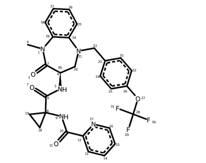 CN1C(=O)[C@H](NC(=O)C2(NC(=O)c3ccccn3)CC2)CN(Cc2ccc(OC(F)(F)F)cc2)c2ccccc21